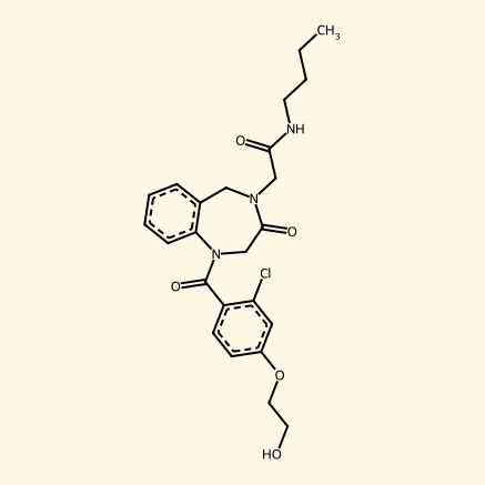 CCCCNC(=O)CN1Cc2ccccc2N(C(=O)c2ccc(OCCO)cc2Cl)CC1=O